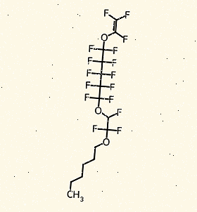 CCCCCCOC(F)(F)C(F)OC(F)(F)C(F)(F)C(F)(F)C(F)(F)C(F)(F)OC(F)=C(F)F